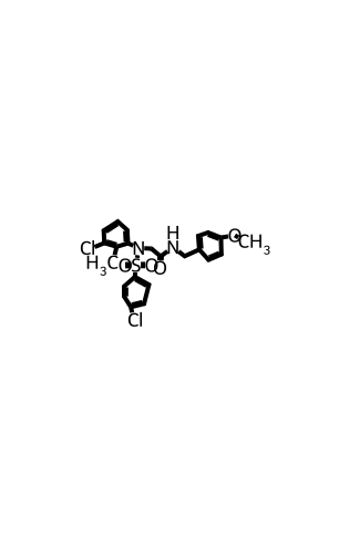 COc1ccc(CNC(=O)CN(c2cccc(Cl)c2C)S(=O)(=O)c2ccc(Cl)cc2)cc1